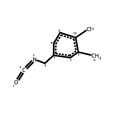 Cc1cc(CN=C=O)ccc1Cl